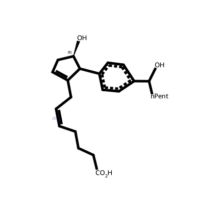 CCCCCC(O)c1ccc(C2C(C/C=C\CCCC(=O)O)=CC[C@H]2O)cc1